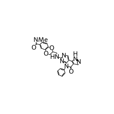 CNC(=O)c1ccc2c(c1)OCC(CNc1ncc3c4[nH]ncc4c(=O)n(-c4ccccc4)c3n1)O2